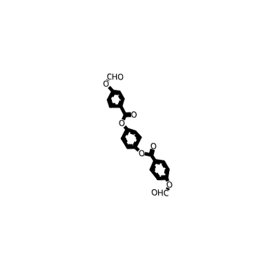 O=COc1ccc(C(=O)Oc2ccc(OC(=O)c3ccc(OC=O)cc3)cc2)cc1